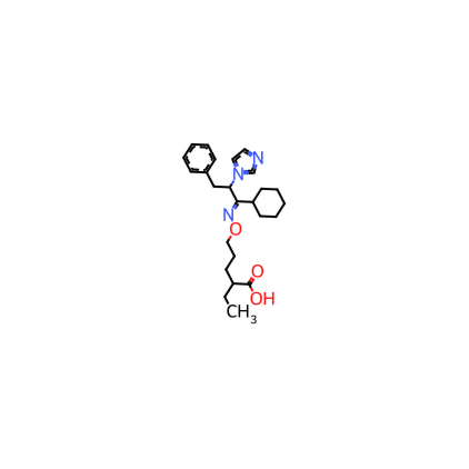 CCC(CCCO/N=C(\C1CCCCC1)C(Cc1ccccc1)n1ccnc1)C(=O)O